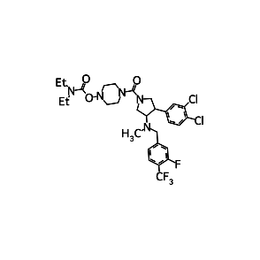 CCN(CC)C(=O)ON1CCN(C(=O)N2CC(c3ccc(Cl)c(Cl)c3)C(N(C)Cc3ccc(C(F)(F)F)c(F)c3)C2)CC1